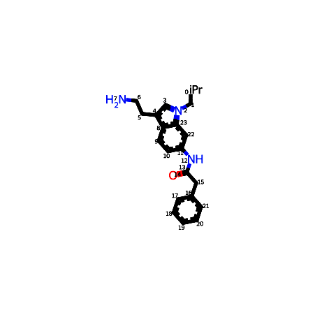 CC(C)Cn1cc(CCN)c2ccc(NC(=O)Cc3ccccc3)cc21